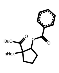 CCCCCCC1(C(=O)OCC(C)C)CCCC1OC(=O)c1ccccc1